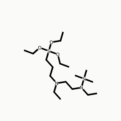 CCO[Si](CCCN(CC)CCN(CC)[Si](C)(C)C)(OCC)OCC